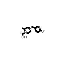 CC1CN(Cc2ccc(Br)nc2)CCN1C(=O)O